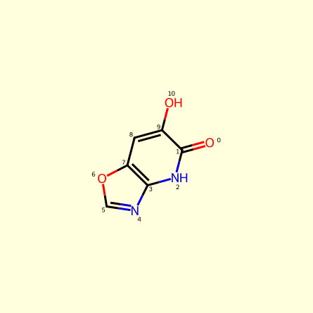 O=c1[nH]c2ncoc2cc1O